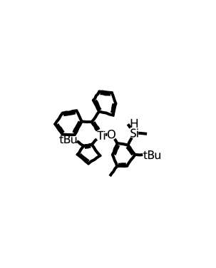 Cc1cc([O][Ti]([C]2=C(C(C)(C)C)C=CC2)=[C](c2ccccc2)c2ccccc2)c([SiH](C)C)c(C(C)(C)C)c1